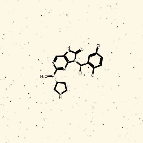 C[C@H](c1cc(Cl)ccc1Cl)n1c(=O)[nH]c2cnc(N(C)[C@@H]3CCNC3)nc21